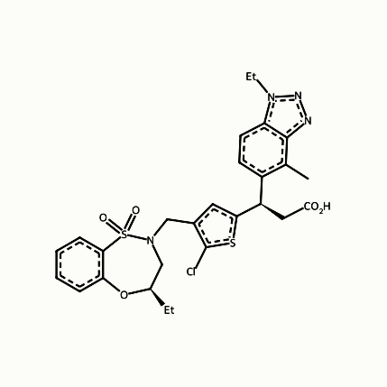 CC[C@@H]1CN(Cc2cc([C@H](CC(=O)O)c3ccc4c(nnn4CC)c3C)sc2Cl)S(=O)(=O)c2ccccc2O1